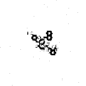 CN1CC(=O)N2C(CN(Cc3cccc4ccccc34)C(=O)[C@@H]2Cc2ccc(O)cc2)N1C(=O)NCc1ccccc1C(F)(F)F